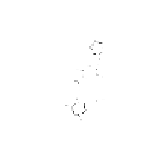 COc1cc(C=O)cc([N+](=O)[O-])c1OCC(=O)N1CC(C)N(Cc2ccc(F)cc2)CC1C